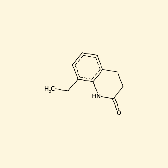 CCc1cccc2c1NC(=O)CC2